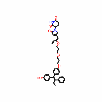 C=C/C(=C\C1=CC(=O)N(C2CCC(=O)NC2=O)C1)OCCCOCCCOc1ccc(/C(=C(/CC)c2ccccc2)c2ccc(O)cc2)cc1